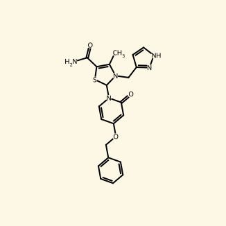 CC1=C(C(N)=O)SC(n2ccc(OCc3ccccc3)cc2=O)N1Cc1cc[nH]n1